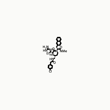 CCC(NC(=N)N)[C@@H]1N[C@@H](CNC(=O)Cc2ccc(Cl)cc2)CCN([C@@H](Cc2ccc3ccccc3c2)C(=O)NC)C1=O